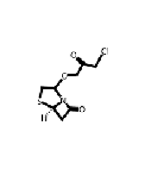 O=C(CCl)COC1CS[C@@H]2CC(=O)N12